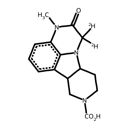 [2H]C1([2H])C(=O)N(C)c2cccc3c2N1C1CCN(C(=O)O)CC31